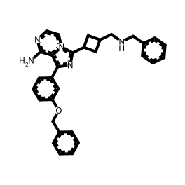 Nc1nccn2c(C3CC(CNCc4ccccc4)C3)nc(-c3cccc(OCc4ccccc4)c3)c12